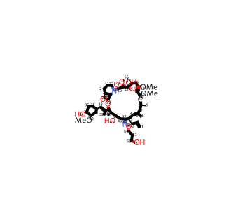 C=CC[C@@H]1/C=C(\C)C[C@H](C)C[C@H](OC)[C@H]2O[C@@](O)(C(=O)C(=O)N3CCCC[C@H]3C(=O)O[C@H](/C(C)=C/[C@@H]3CC[C@@H](O)[C@H](OC)C3)[C@H](C)[C@@H](O)C/C1=N/OCCCO)[C@H](C)C[C@@H]2OC